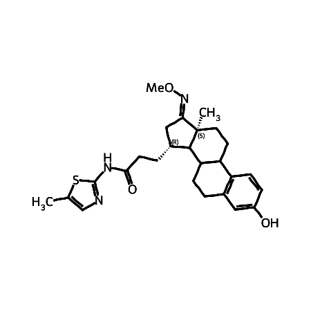 CON=C1C[C@@H](CCC(=O)Nc2ncc(C)s2)C2C3CCc4cc(O)ccc4C3CC[C@]12C